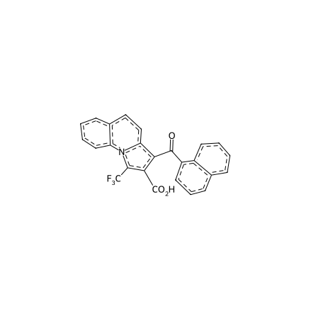 O=C(O)c1c(C(=O)c2cccc3ccccc23)c2ccc3ccccc3n2c1C(F)(F)F